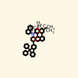 CC(C)(C)c1cc(-c2cccc3cccc(-c4ccccc4N(c4ccc(-c5ccc6c(c5)C(c5ccccc5)(c5ccccc5)c5ccccc5-6)cc4)c4cccc5ccccc45)c23)cc(C(C)(C)C)c1